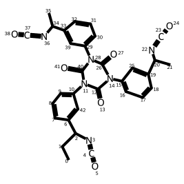 CCC(N=C=O)c1cccc(-n2c(=O)n(-c3cccc(C(C)N=C=O)c3)c(=O)n(-c3cccc(C(C)N=C=O)c3)c2=O)c1